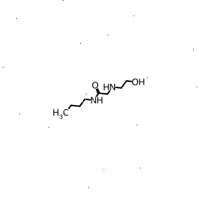 CCCCNC(=O)CNCCO